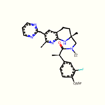 CCN(C[C@@]1(C)CCc2cc(-c3ncccn3)c(C)nc2N1)C(=O)[C@H](C)c1ccc(OC)c(F)c1